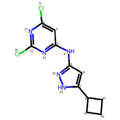 Clc1cc(Nc2cc(C3CCC3)[nH]n2)nc(Cl)n1